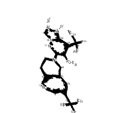 Cc1c(N2CCc3ncc(C(F)(F)F)cc3C2)nn2cnnc2c1C(F)(F)F